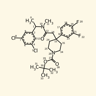 CC(c1cc(Cl)cc(Cl)c1)N(C)C(=O)CC1(c2ccc(F)c(F)c2)CCN(C(=O)OC(C)(C)C)CC1